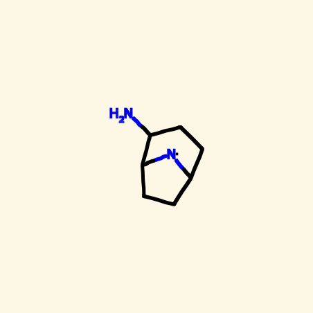 NC1CCC2CCC1[N]2